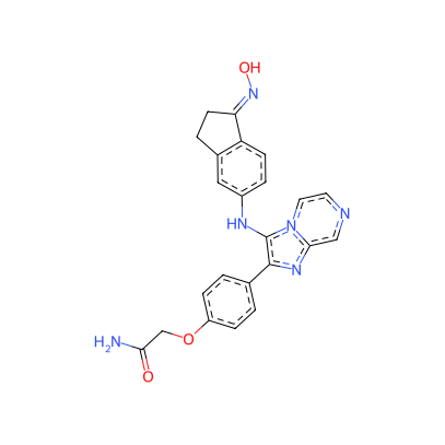 NC(=O)COc1ccc(-c2nc3cnccn3c2Nc2ccc3c(c2)CCC3=NO)cc1